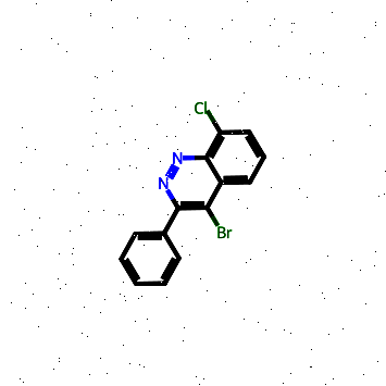 Clc1cccc2c(Br)c(-c3ccccc3)nnc12